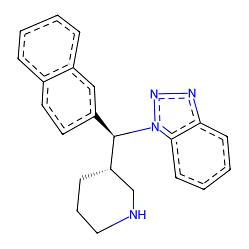 c1ccc2cc([C@H]([C@H]3CCCNC3)n3nnc4ccccc43)ccc2c1